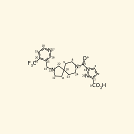 O=C(O)c1ccn(C(=O)N2CCC3(CCN(Cc4cnccc4C(F)(F)F)C3)CC2)n1